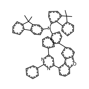 CC1(C)c2ccccc2-c2ccc(N(c3ccc(-c4ccc5oc6cccc(-c7cc(-c8ccccc8)nc(-c8ccccc8)n7)c6c5c4)cc3)c3cccc4c3-c3ccccc3C4(C)C)cc21